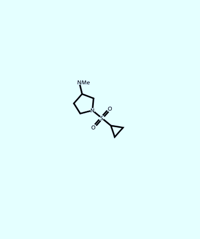 CNC1CCN(S(=O)(=O)C2CC2)C1